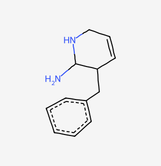 NC1NCC=CC1Cc1ccccc1